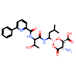 CC(C)CC(NC(=O)C(NC(=O)c1cccc(-c2ccccc2)n1)C(C)O)B1OC(=O)[C@@H](N)[C@H](C(=O)O)O1